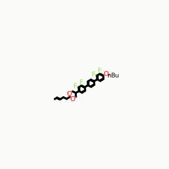 C/C=C/CCC1OCC(c2ccc(-c3ccc(-c4ccc(OCCCC)c(F)c4F)cc3)c(F)c2F)CO1